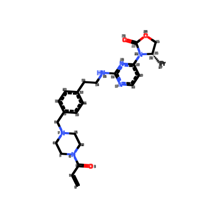 C=CC(=O)N1CCN(Cc2ccc(CCNc3nccc(N4C(=O)OC[C@@H]4C(C)C)n3)cc2)CC1